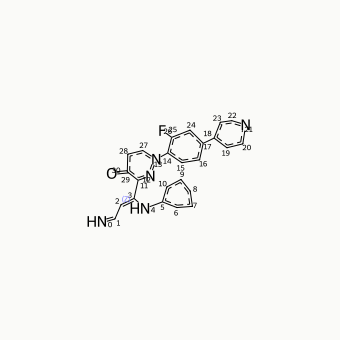 N=C/C=C(\Nc1ccccc1)c1nn(-c2ccc(-c3ccncc3)cc2F)ccc1=O